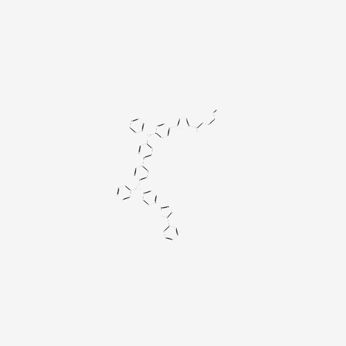 C=C/C=C\C=C(/C)c1ccc(-c2ccc(N(c3ccccc3)c3ccc(-c4ccc(N(c5ccccc5)c5ccc(-c6ccc(-c7ccccc7)s6)cc5)cc4)cc3)cc2)s1